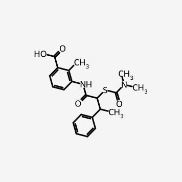 Cc1c(NC(=O)C(SC(=O)N(C)C)C(C)c2ccccc2)cccc1C(=O)O